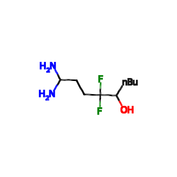 CCCCC(O)C(F)(F)CCC(N)N